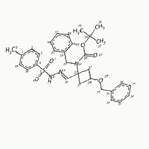 Cc1ccc(S(=O)(=O)NN=CC2(N(Cc3ccccc3)C(=O)OC(C)(C)C)CC(OCc3ccccc3)C2)cc1